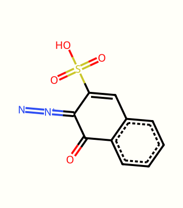 [N-]=[N+]=C1C(=O)c2ccccc2C=C1S(=O)(=O)O